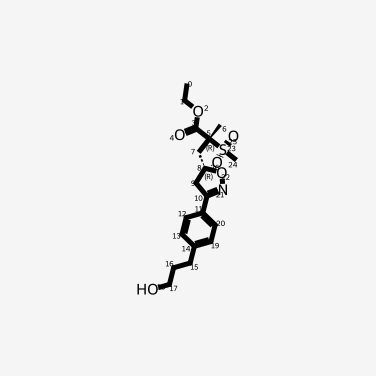 CCOC(=O)[C@@](C)(C[C@H]1CC(c2ccc(CCCO)cc2)=NO1)S(C)(=O)=O